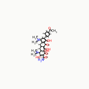 CC(=O)c1ccc(-c2cc(N(C)C)c3c(c2O)C(=O)C2=C(O)C4(O)C(=O)C(C(N)=O)=C(O)C(N(C)C)C4CC2C3)cc1